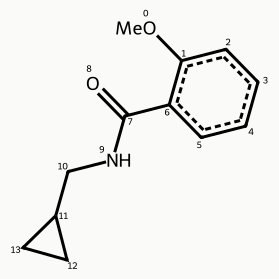 COc1ccccc1C(=O)NCC1CC1